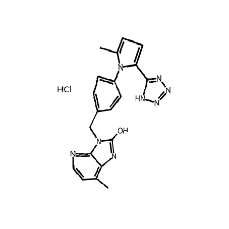 Cc1ccnc2c1nc(O)n2Cc1ccc(-n2c(C)ccc2-c2nnn[nH]2)cc1.Cl